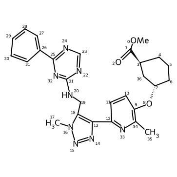 COC(=O)[C@H]1CCC[C@H](Oc2ccc(-c3nnn(C)c3CNc3ncnc(-c4ccccc4)n3)nc2C)C1